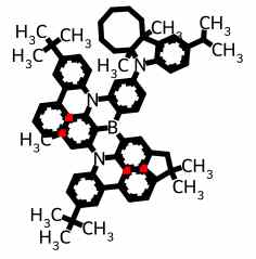 Cc1cc2c3c(c1)N(c1ccc(C(C)(C)C)cc1-c1ccccc1)c1cc4c(cc1B3c1ccc(N3c5ccc(C(C)C)cc5C5(C)CCCCCCC35C)cc1N2c1ccc(C(C)(C)C)cc1-c1ccccc1)CC(C)(C)C4